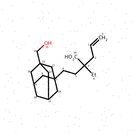 C=CCC(CC)(CCC12CC3CC(CC(CO)(C3)C1)C2)C(=O)O